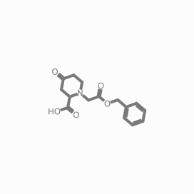 O=C1CCN(CC(=O)OCc2ccccc2)C(C(=O)O)C1